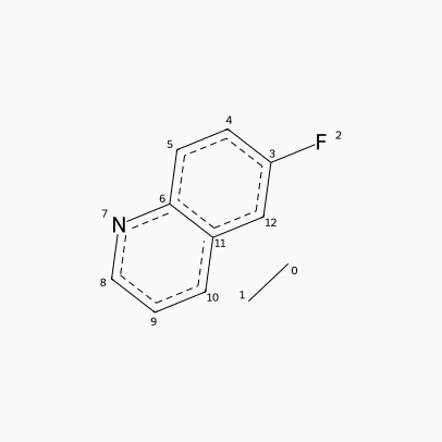 CC.Fc1ccc2ncccc2c1